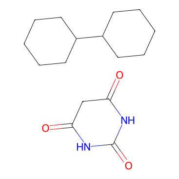 C1CCC(C2CCCCC2)CC1.O=C1CC(=O)NC(=O)N1